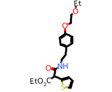 CCOCCOc1ccc(CCNC(=O)C(C(=O)OCC)c2cccs2)cc1